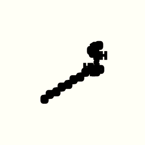 COCCOCCOCCOCCOCCOCCOCCOCCC(=O)NC(CCCCNC(=O)CN1C(=O)C=CC1=O)C(=O)O